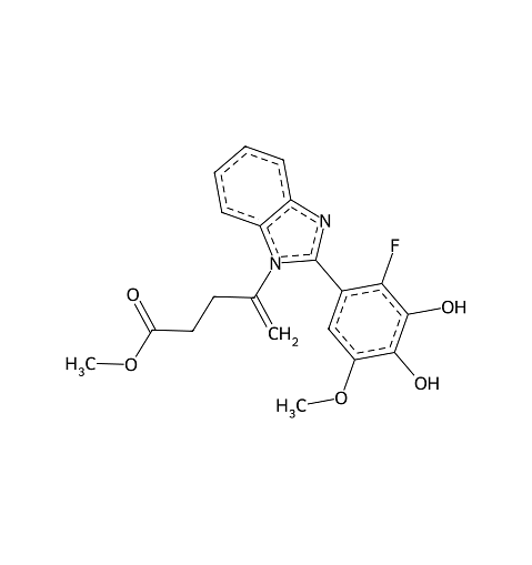 C=C(CCC(=O)OC)n1c(-c2cc(OC)c(O)c(O)c2F)nc2ccccc21